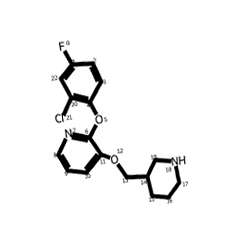 Fc1ccc(Oc2ncccc2OCC2CCCNC2)c(Cl)c1